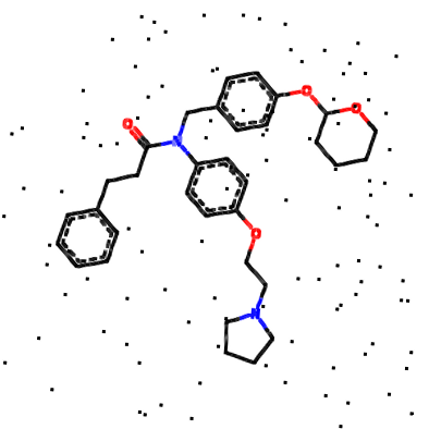 O=C(CCc1ccccc1)N(Cc1ccc(OC2CCCCO2)cc1)c1ccc(OCCN2CCCC2)cc1